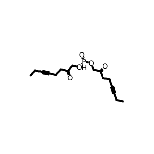 CCC#CCCC(=O)CO[PH](=O)OCC(=O)CCC#CCC